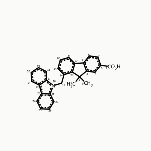 CC1(C)c2cc(C(=O)O)ccc2-c2cccc(Cn3c4ccccc4c4ccccc43)c21